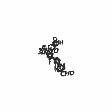 C[C@@H]1CN(c2cc(F)c(C3=CCN(c4ncc(C=O)cn4)C3)cc2NC(=O)c2c[nH]c(=O)cc2C(F)(F)F)C[C@H](C)N1C